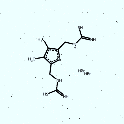 Br.Br.Cc1c(CNC(=N)S)sc(CNC(=N)S)c1C